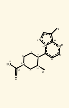 Cc1cnn2c(N3CCN(C(=O)O)C[C@@H]3C)ccnc12